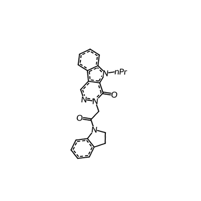 CCCn1c2ccccc2c2cnn(CC(=O)N3CCc4ccccc43)c(=O)c21